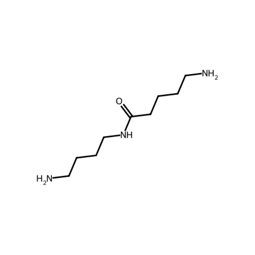 NCCCCNC(=O)CCCCN